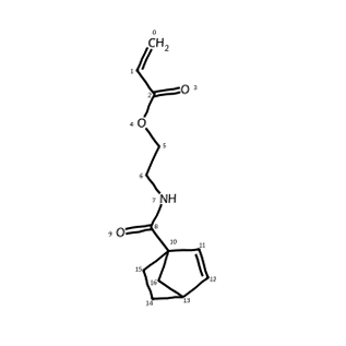 C=CC(=O)OCCNC(=O)C12C=CC(CC1)C2